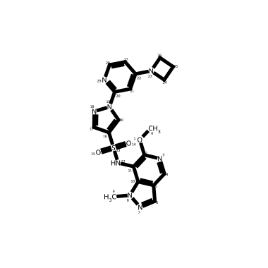 COc1ncc2cnn(C)c2c1NS(=O)(=O)c1cnn(-c2cc(N3CCC3)ccn2)c1